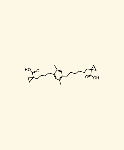 Cc1cc(CCCCC2(C(=O)O)CC2)c(C)cc1CCCCCCC1(C(=O)O)CC1